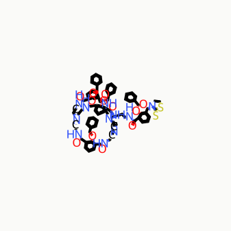 O=C1NCCN2CCNC(=O)c3cccc(c3OCc3ccccc3)C(=O)NCCN(CCNC(=O)c3cccc1c3OCc1ccccc1)CCN(CCNC(=O)c1cccc(C(=O)N3CCSC3=S)c1OCc1ccccc1)CCNC(=O)c1cccc(c1OCc1ccccc1)C(=O)NCC2